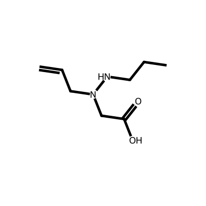 C=CCN(CC(=O)O)NCCC